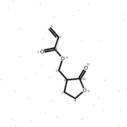 C=CC(=O)OCC1CCOC1=O